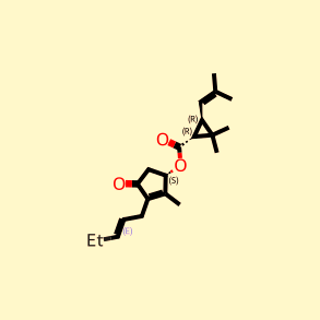 CC/C=C/CC1=C(C)[C@@H](OC(=O)[C@@H]2[C@@H](C=C(C)C)C2(C)C)CC1=O